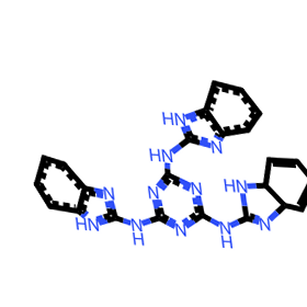 C1=CC2N=C(Nc3nc(Nc4nc5ccccc5[nH]4)nc(Nc4nc5ccccc5[nH]4)n3)NC2C=C1